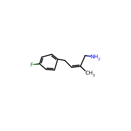 C/C(=C/Cc1ccc(F)cc1)CN